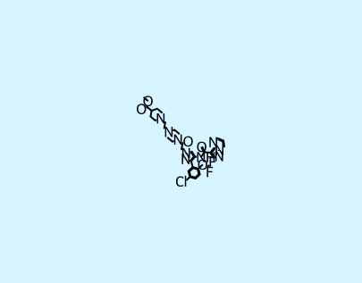 COC(=O)C1CCN(CCN2CCN(C(=O)Cn3cc(NC(=O)c4cnn5cccnc45)c(-c4cc(Cl)ccc4OC(F)F)n3)CC2)CC1